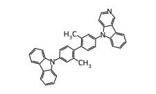 Cc1cc(-n2c3ccccc3c3ccccc32)ccc1-c1ccc(-n2c3ccccc3c3cnccc32)cc1C